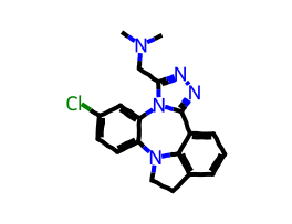 CN(C)Cc1nnc2n1-c1cc(Cl)ccc1N1CCc3cccc-2c31